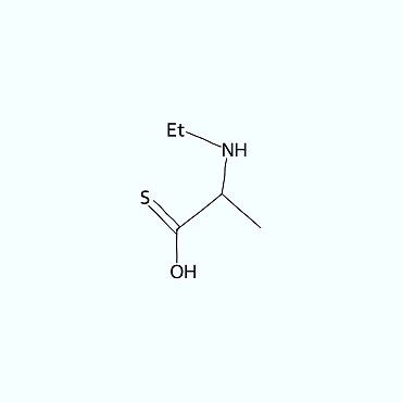 CCNC(C)C(O)=S